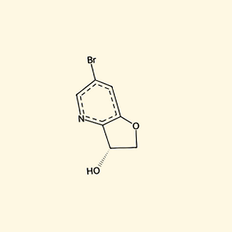 O[C@H]1COc2cc(Br)cnc21